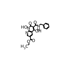 CCOC(=O)c1cnc2c(c1)c(O)c(C(=O)NCc1ccccc1)c(=O)n2O